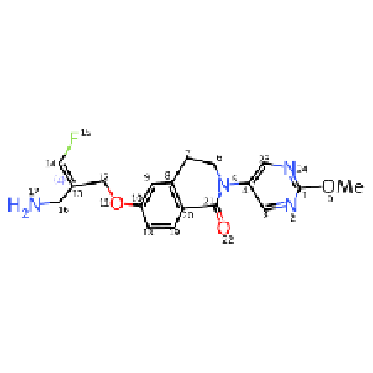 COc1ncc(N2CCc3cc(OC/C(=C\F)CN)ccc3C2=O)cn1